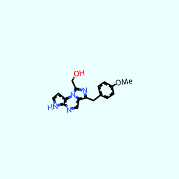 COc1ccc(Cc2nc(CO)n3c2cnc2[nH]ccc23)cc1